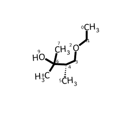 C[CH]OC[C@H](C)C(C)(C)O